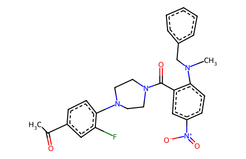 CC(=O)c1ccc(N2CCN(C(=O)c3cc([N+](=O)[O-])ccc3N(C)Cc3ccccc3)CC2)c(F)c1